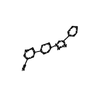 N#Cc1cncc(-c2ccc(-n3cc(-c4ccccc4)nn3)cc2)c1